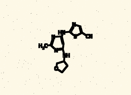 Cc1nc(Nc2ncc(C#N)s2)cc(NC2CCOC2)n1